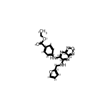 CCOC(=O)c1ccc(Nc2nc3nonc3nc2NCc2ccco2)cc1